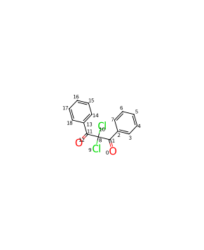 O=C(c1ccccc1)C(Cl)(Cl)C(=O)c1ccccc1